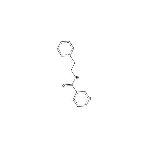 O=C(N[CH]Cc1ccccc1)c1cccnc1